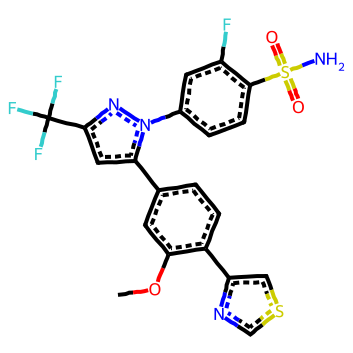 COc1cc(-c2cc(C(F)(F)F)nn2-c2ccc(S(N)(=O)=O)c(F)c2)ccc1-c1cscn1